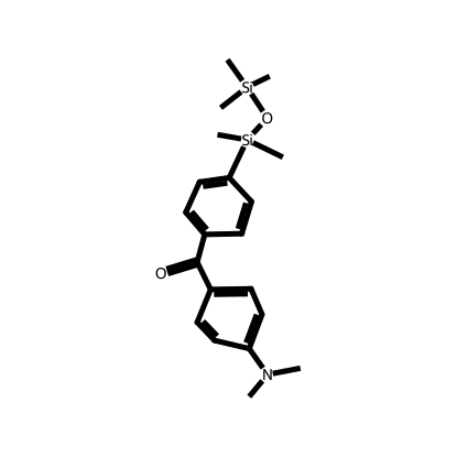 CN(C)c1ccc(C(=O)c2ccc([Si](C)(C)O[Si](C)(C)C)cc2)cc1